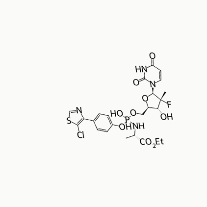 CCOC(=O)[C@H](C)N[PH](O)(OC[C@H]1O[C@@H](n2ccc(=O)[nH]c2=O)[C@](C)(F)[C@@H]1O)Oc1ccc(-c2ncsc2Cl)cc1